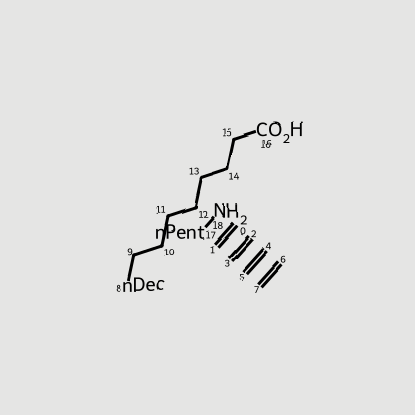 C=C.C=C.C=C.C=C.CCCCCCCCCCCCCCCCCC(=O)O.CCCCCN